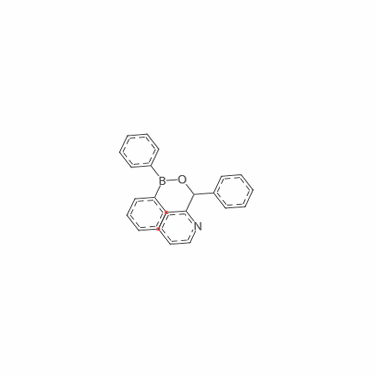 c1ccc(B(OC(c2ccccc2)c2ccccn2)c2ccccc2)cc1